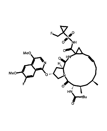 COc1cc2c(OC)cnc(O[C@@H]3C[C@H]4C(=O)NC5(C(=O)NS(=O)(=O)C6(CF)CC6)CC5/C=C\CC[C@@H](C)C[C@@H](C)[C@H](NC(=O)C(C)(C)C)C(=O)N4C3)c2cc1F